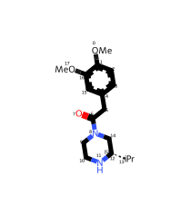 COc1ccc(CC(=O)N2CCN[C@@H](C(C)C)C2)cc1OC